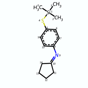 C[Si](C)(C)Sc1ccc(N=C2CCCC2)cc1